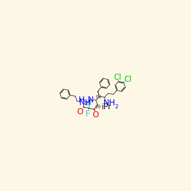 CC(C)[C@H](C(=O)C(F)(F)C(=O)NCCc1ccccc1)C(N)[C@@H](Cc1ccccc1)C(N)CCc1ccc(Cl)c(Cl)c1